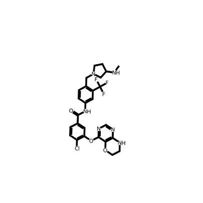 CNC1CCN(Cc2ccc(NC(=O)c3ccc(Cl)c(Oc4ncnc5c4OCCN5)c3)cc2C(F)(F)F)C1